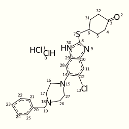 Cl.Cl.O=C1CCC(Sc2nc3cc(Cl)c(N4CCN(Cc5ccccc5)CC4)cc3[nH]2)CC1